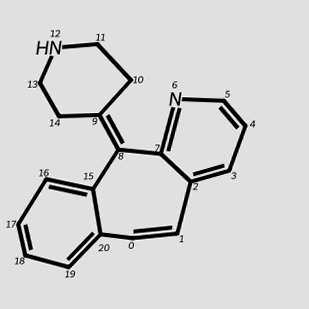 C1=Cc2cccnc2C(=C2CCNCC2)c2ccccc21